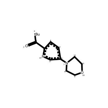 CC(C)(C)C(=O)c1ccc(N2CCOCC2)cn1